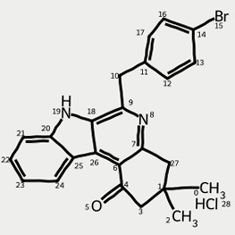 CC1(C)CC(=O)c2c(nc(Cc3ccc(Br)cc3)c3[nH]c4ccccc4c23)C1.Cl